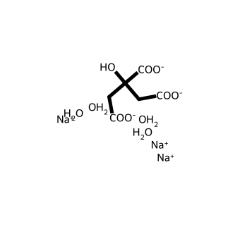 O.O.O.O.O=C([O-])CC(O)(CC(=O)[O-])C(=O)[O-].[Na+].[Na+].[Na+]